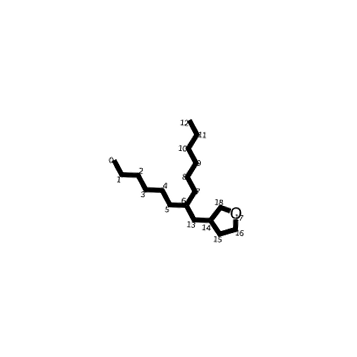 CCCCCCC(CCCCCC)CC1CCOC1